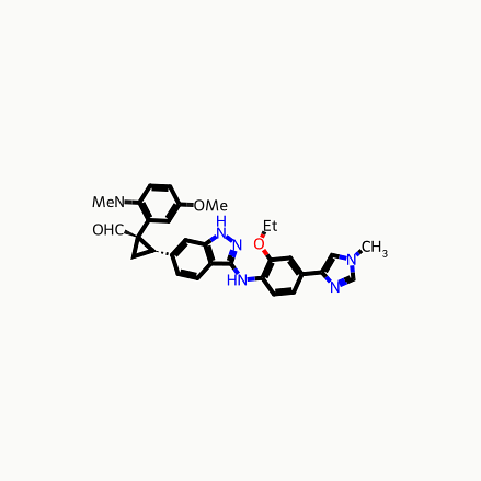 CCOc1cc(-c2cn(C)cn2)ccc1Nc1n[nH]c2cc([C@@H]3C[C@]3(C=O)c3cc(OC)ccc3NC)ccc12